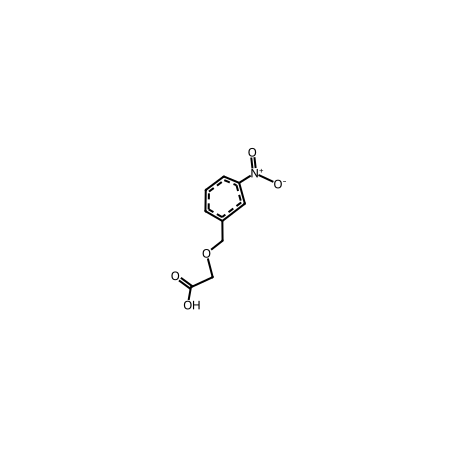 O=C(O)COCc1cccc([N+](=O)[O-])c1